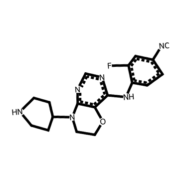 [C-]#[N+]c1ccc(Nc2ncnc3c2OCCN3C2CCNCC2)c(F)c1